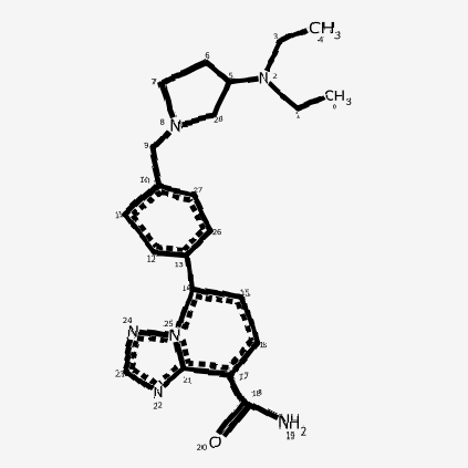 CCN(CC)C1CCN(Cc2ccc(-c3ccc(C(N)=O)c4n[c]nn34)cc2)C1